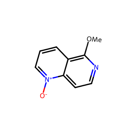 COc1nccc2c1ccc[n+]2[O-]